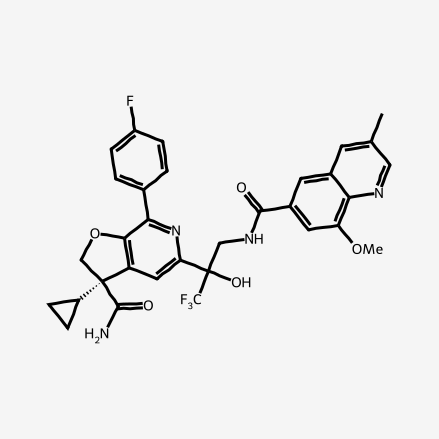 COc1cc(C(=O)NCC(O)(c2cc3c(c(-c4ccc(F)cc4)n2)OC[C@@]3(C(N)=O)C2CC2)C(F)(F)F)cc2cc(C)cnc12